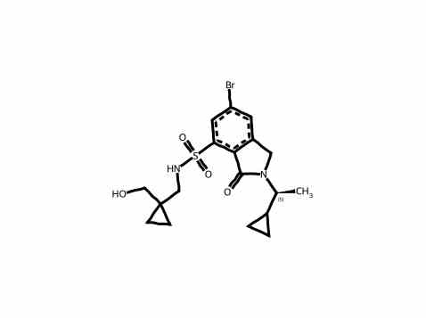 C[C@@H](C1CC1)N1Cc2cc(Br)cc(S(=O)(=O)NCC3(CO)CC3)c2C1=O